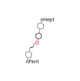 CCCCCCCC1CCC(c2ccc(OCC=CC3CCC(CCCCC)CC3)cc2)CC1